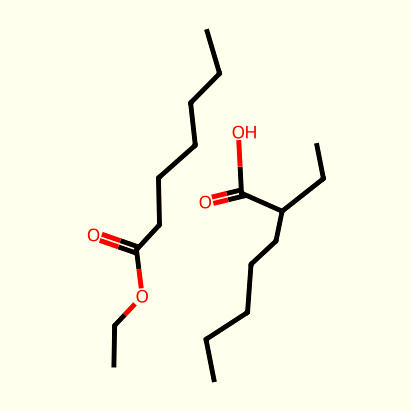 CCCCCC(CC)C(=O)O.CCCCCCC(=O)OCC